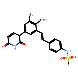 COc1c(/C=C/c2ccc(NS(C)(=O)=O)cc2)cc(C2C=CC(=O)NC2=O)cc1C(C)(C)C